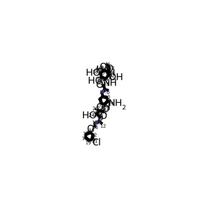 C/C(=C\c1ccc(O[C@@H]2O[C@H](/C(C)=C/COc3cccc(Cl)c3)[C@@H](O)[C@]2(C)O)c(N)c1)C(=O)N[C@@H]1[C@H](O)[C@@H](O)[C@H]2OCO[C@H]2[C@@H]1O